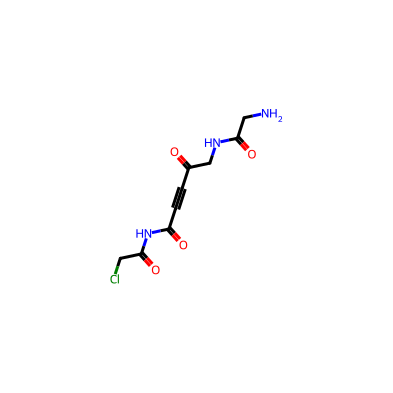 NCC(=O)NCC(=O)C#CC(=O)NC(=O)CCl